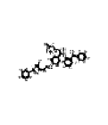 Cc1nnc(CC(Nc2ccccc2C(=O)c2ccccc2)c2ccc(OCCc3nc(-c4ccccc4)oc3C)cc2)s1